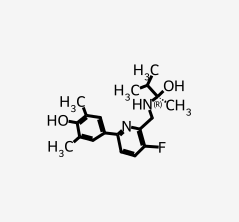 Cc1cc(-c2ccc(F)c(CN[C@](C)(O)C(C)C)n2)cc(C)c1O